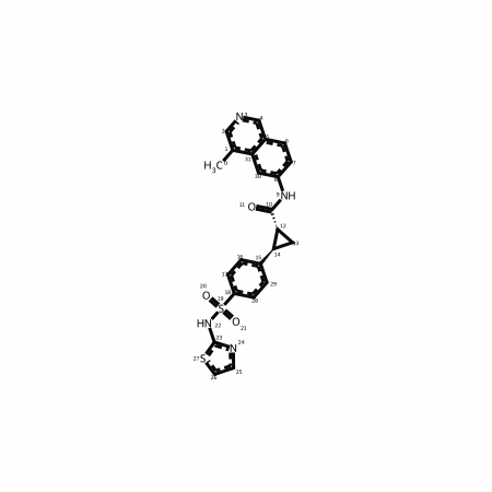 Cc1cncc2ccc(NC(=O)[C@@H]3C[C@H]3c3ccc(S(=O)(=O)Nc4nccs4)cc3)cc12